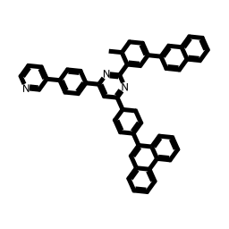 CC1CC=C(c2ccc3ccccc3c2)C=C1c1nc(-c2ccc(-c3cccnc3)cc2)cc(C2C=CC(c3cc4ccccc4c4ccccc34)=CC2)n1